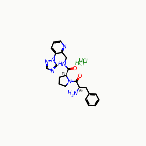 Cl.Cl.N[C@H](Cc1ccccc1)C(=O)N1CCC[C@H]1C(=O)NCc1ncccc1-n1cncn1